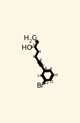 C=C[C@@H](O)CCC#Cc1cccc(Br)c1